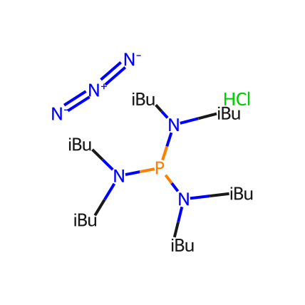 CCC(C)N(C(C)CC)P(N(C(C)CC)C(C)CC)N(C(C)CC)C(C)CC.Cl.[N-]=[N+]=[N-]